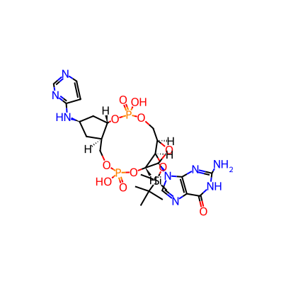 CC(C)(C)[Si](C)(C)O[C@H]1[C@H]2OP(=O)(O)OC[C@H]3C[C@@H](Nc4ccncn4)C[C@@H]3OP(=O)(O)OC[C@H]1O[C@H]2n1cnc2c(=O)[nH]c(N)nc21